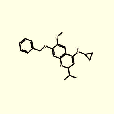 COc1cc2c(cc1OCc1ccccc1)OC(C(C)C)C=C2NC1CC1